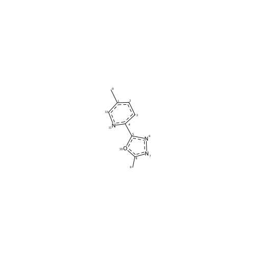 Cc1ccc(-c2nnc(C)o2)nc1